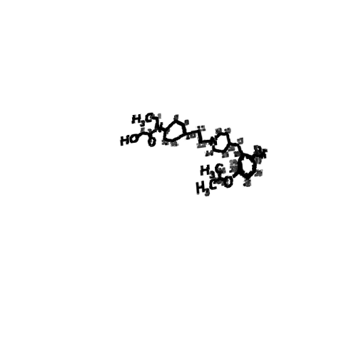 CCN(C(=O)CO)C1CCC(CCN2CCC(Cc3cc(OC(C)C)ccc3Br)CC2)CC1